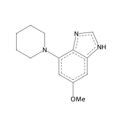 COc1cc(N2CCCCC2)c2nc[nH]c2c1